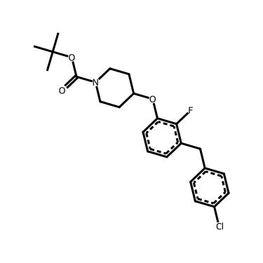 CC(C)(C)OC(=O)N1CCC(Oc2cccc(Cc3ccc(Cl)cc3)c2F)CC1